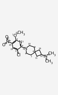 COc1nc(N2CCC3(CC2)CC(N(C)C)C3)c(Cl)cc1[N+](=O)[O-]